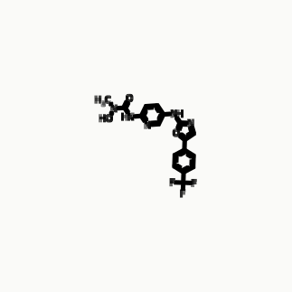 CN(O)C(=O)Nc1ccc(Nc2ncc(-c3ccc(C(F)(F)F)cc3)o2)cn1